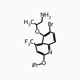 CC(C)Oc1cc(C(F)(F)F)c2c(OC(C)CN)c(Br)ccc2n1